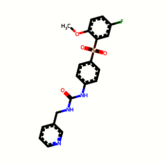 COc1ccc(F)cc1S(=O)(=O)c1ccc(NC(=O)NCc2cccnc2)cc1